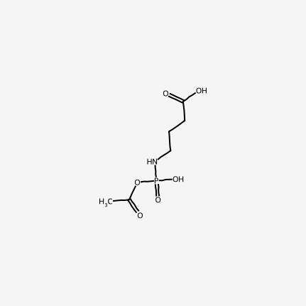 CC(=O)OP(=O)(O)NCCCC(=O)O